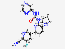 N#Cc1ncc(-c2ccc3c(n2)N(C(=O)Nc2cnccn2)C2CCN3C2)cc1F